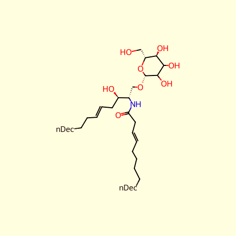 CCCCCCCCCCCCC=CC[C@@H](O)[C@H](CO[C@@H]1O[C@H](CO)[C@@H](O)C(O)C1O)NC(=O)CC=CCCCCCCCCCCCCCC